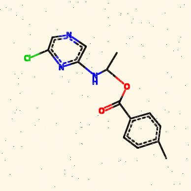 Cc1ccc(C(=O)OC(C)Nc2cncc(Cl)n2)cc1